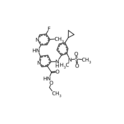 CCONC(=O)c1cnc(Nc2cc(C)c(F)cn2)cc1Nc1ccc(C2CC2)cc1N(C)S(C)(=O)=O